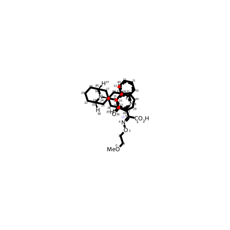 COCCO/N=C(\C(=O)O)c1nc2ccccc2n(C2C[C@H]3CCC[C@@H](C2)N3[C@@H]2C[C@@H]3CCCC[C@@H](C3)C2)c1=O